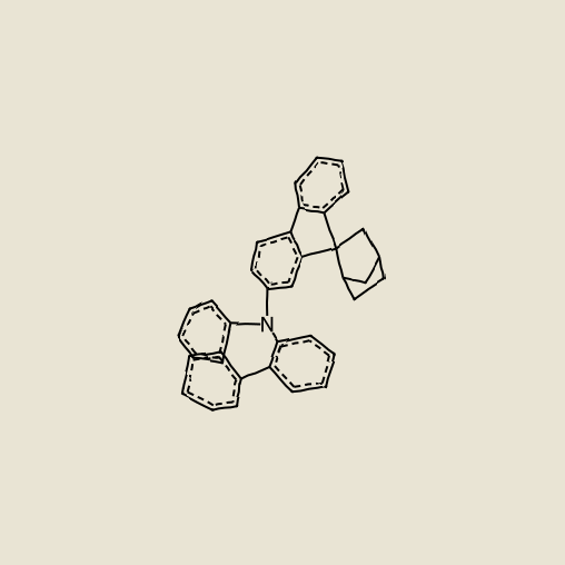 c1ccc(-c2ccccc2N(c2ccccc2)c2ccc3c(c2)C2(CC4CCC2C4)c2ccccc2-3)cc1